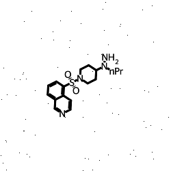 CCCN(N)C1CCN(S(=O)(=O)c2cccc3cnccc23)CC1